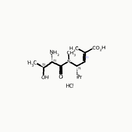 C/C(=C\[C@H](C(C)C)N(C)C(=O)[C@@H](N)[C@H](C)O)C(=O)O.Cl